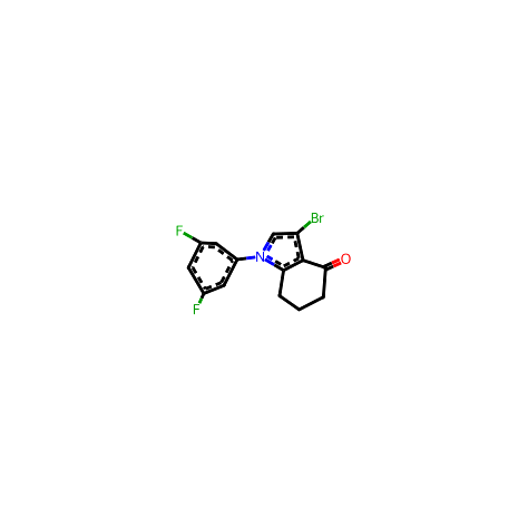 O=C1CCCc2c1c(Br)cn2-c1cc(F)cc(F)c1